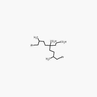 CC(C)CC(C)CCC(CCC(=O)O)(CCC(C)CC(C)C)C(=O)O